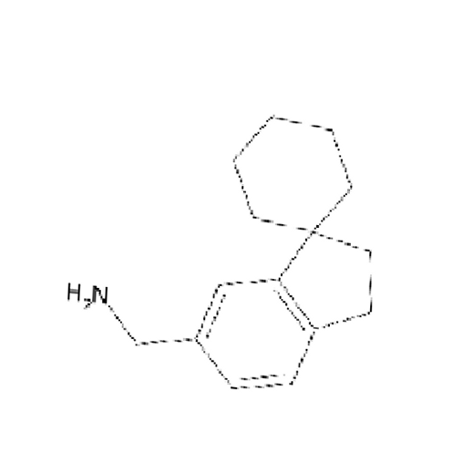 NCc1ccc2c(c1)C1(CCCCC1)CC2